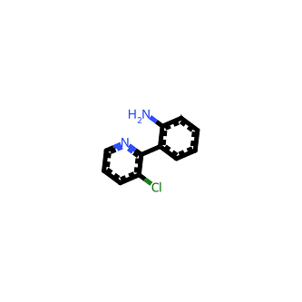 Nc1[c]cccc1-c1ncccc1Cl